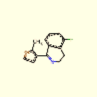 Cc1sccc1C1=NCCc2c(F)cccc21